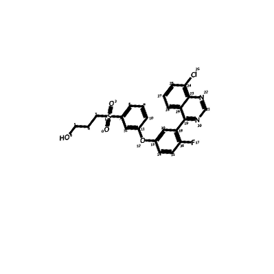 O=S(=O)(CCCO)c1cccc(Oc2ccc(F)c(-c3ncnc4c(Cl)cccc34)c2)c1